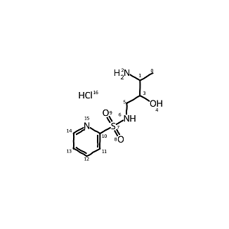 CC(N)C(O)CNS(=O)(=O)c1ccccn1.Cl